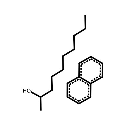 CCCCCCCCC(C)O.c1ccc2ccccc2c1